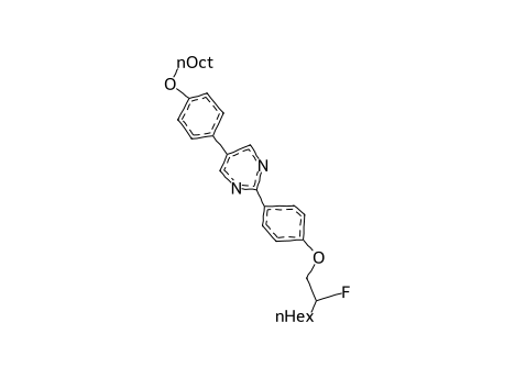 CCCCCCCCOc1ccc(-c2cnc(-c3ccc(OCC(F)CCCCCC)cc3)nc2)cc1